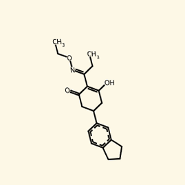 CCON=C(CC)C1=C(O)CC(c2ccc3c(c2)CCC3)CC1=O